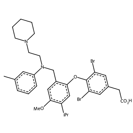 COc1cc(CN(CCN2CCCCC2)c2cccc(C)c2)c(Oc2c(Br)cc(CC(=O)O)cc2Br)cc1C(C)C